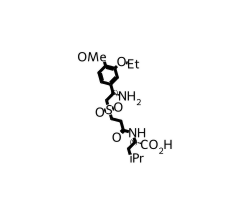 CCOc1cc([C@H](N)CS(=O)(=O)CCC(=O)N[C@@H](CC(C)C)C(=O)O)ccc1OC